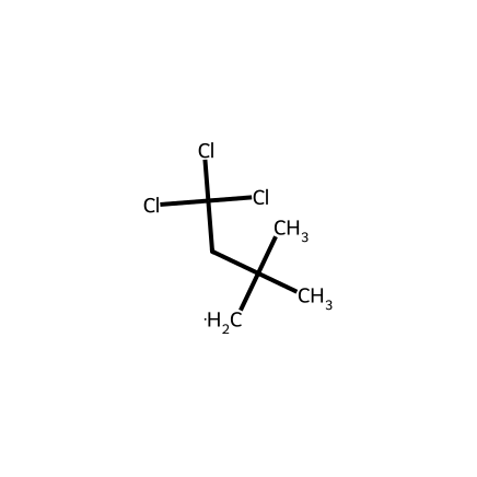 [CH2]C(C)(C)CC(Cl)(Cl)Cl